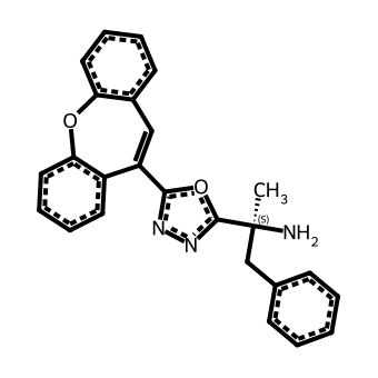 C[C@](N)(Cc1ccccc1)c1nnc(C2=Cc3ccccc3Oc3ccccc32)o1